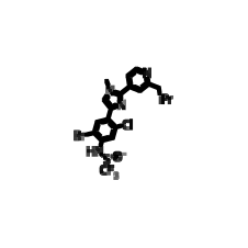 CC(C)Cc1cc(-c2nc(-c3cc(Br)c(N[S+]([O-])C(F)(F)F)cc3Cl)cn2C)ccn1